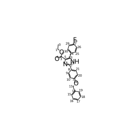 CCOC(=O)c1nc(-c2ccc(OCc3ccccc3)cc2)[nH]c1-c1ccc(F)cc1